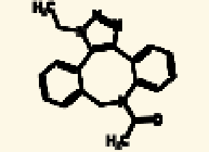 CCn1nnc2c1-c1ccccc1CN(C(C)=O)c1ccccc1-2